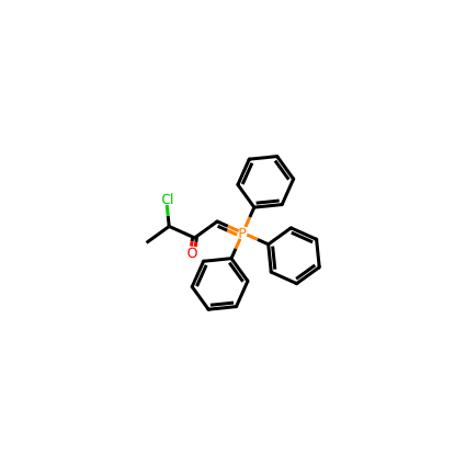 CC(Cl)C(=O)C=P(c1ccccc1)(c1ccccc1)c1ccccc1